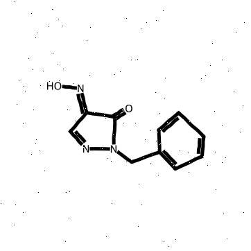 O=C1/C(=N/O)C=NN1Cc1ccccc1